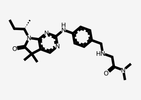 CC[C@H](C)N1C(=O)C(C)(C)c2cnc(Nc3ccc(CNCC(=O)N(C)C)cc3)nc21